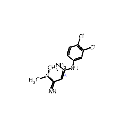 CN(C)C(=N)/C=C(\N)Nc1ccc(Cl)c(Cl)c1